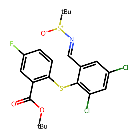 CC(C)(C)OC(=O)c1cc(F)ccc1Sc1c(Cl)cc(Cl)cc1C=N[S+]([O-])C(C)(C)C